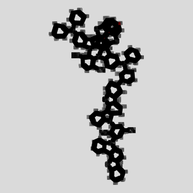 N#Cc1cc(-n2c3ccccc3c3c4oc5ccccc5c4ccc32)c(C#N)c(-n2c3ccccc3c3c4oc5ccc(-c6cccc(N(c7ccccc7)c7ccc8c(c7)c7c9oc%10ccccc%10c9ccc7n8-c7c(C#N)ccc(C#N)c7-n7c8ccc(N(c9ccccc9)c9ccccc9)cc8c8c9oc%10ccccc%10c9ccc87)c6)cc5c4ccc32)c1